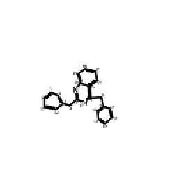 c1ccc(Cc2nc(Cc3ccccc3)c3ccccc3n2)cc1